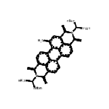 C=C1c2ccc3c4ccc5c6c(cc(N)c(c7ccc(c2c37)C(=C)N1C(CCCCCCCCC)CCCCCCCCC)c64)C(=C)N(C(CCCCCCCCC)CCCCCCCCC)C5=C